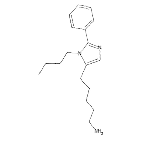 CCCCn1c(CCCCCN)cnc1-c1ccccc1